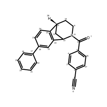 N#Cc1ccc(C(=O)N2CC[C@@H]3CC2c2cc(-c4ccccc4)ccc23)cc1